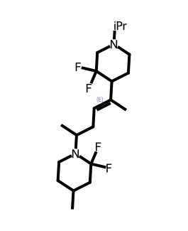 C/C(=C\CC(C)N1CCC(C)CC1(F)F)C1CCN(C(C)C)CC1(F)F